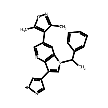 Cc1noc(C)c1-c1cnc2c(-c3cn[nH]c3)cn(C(C)c3ccccc3)c2c1